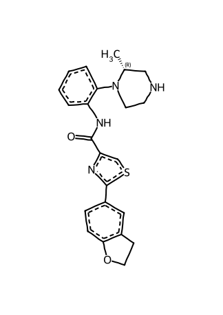 C[C@@H]1CNCCN1c1ccccc1NC(=O)c1csc(-c2ccc3c(c2)CCO3)n1